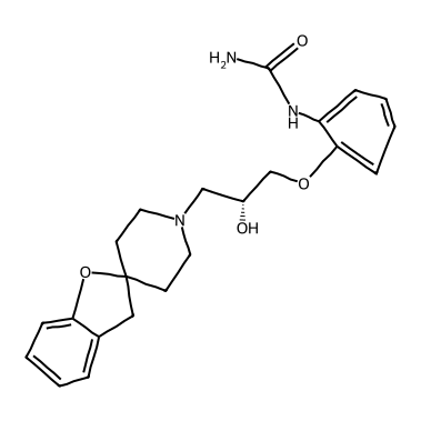 NC(=O)Nc1ccccc1OC[C@H](O)CN1CCC2(CC1)Cc1ccccc1O2